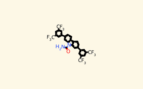 NC(=O)n1c2cc(-c3cc(C(F)(F)F)cc(C(F)(F)F)c3)ccc2c2ccc(-c3cc(C(F)(F)F)cc(C(F)(F)F)c3)cc21